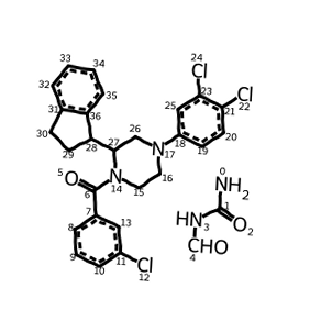 NC(=O)NC=O.O=C(c1cccc(Cl)c1)N1CCN(c2ccc(Cl)c(Cl)c2)CC1C1CCc2ccccc21